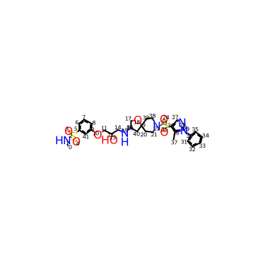 CNS(=O)(=O)c1cccc(OCC(O)CN[C@H]2COC3(CCN(S(=O)(=O)c4cnn(-c5ccccc5)c4C)CC3)C2)c1